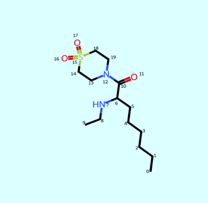 CCCCCCC(NCC)C(=O)N1CCS(=O)(=O)CC1